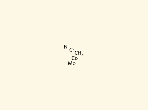 C.[Co].[Cr].[Mo].[Ni]